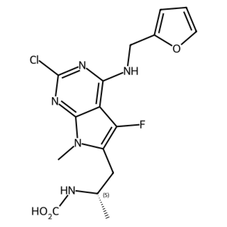 C[C@@H](Cc1c(F)c2c(NCc3ccco3)nc(Cl)nc2n1C)NC(=O)O